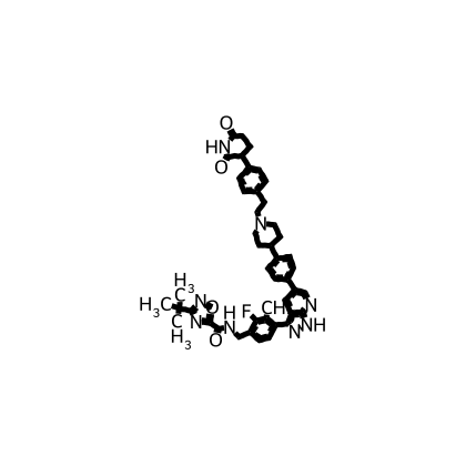 Cc1c(-c2n[nH]c3ncc(-c4ccc(C5CCN(CCc6ccc(C7CCC(=O)NC7=O)cc6)CC5)cc4)cc23)ccc(CNC(=O)c2nc(C(C)(C)C)no2)c1F